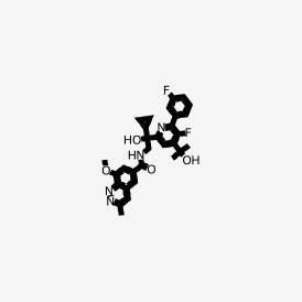 COc1cc(C(=O)NCC(O)(c2cc(C(C)(C)O)c(F)c(-c3cccc(F)c3)n2)C2CC2)cc2cc(C)nnc12